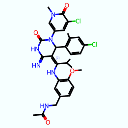 COc1ccc(CNC(C)=O)cc1N/C(=C1\C(=N)NC(=O)N(c2cc(Cl)c(=O)n(C)c2)C1c1ccc(Cl)cc1C)C(C)C